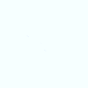 CN1CCC[C@H]1C(=O)NCC[O]